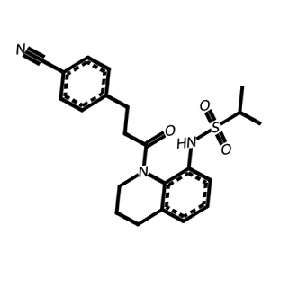 CC(C)S(=O)(=O)Nc1cccc2c1N(C(=O)CCc1ccc(C#N)cc1)CCC2